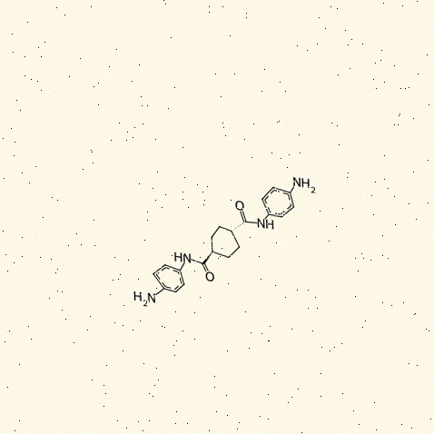 Nc1ccc(NC(=O)[C@H]2CC[C@H](C(=O)Nc3ccc(N)cc3)CC2)cc1